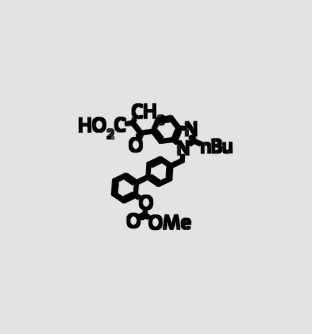 CCCCc1nc2ccc(C(=O)C(C)C(=O)O)cc2n1Cc1ccc(-c2ccccc2OC(=O)OC)cc1